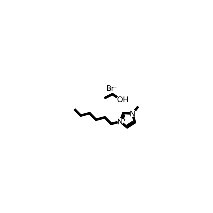 CCCCCC[n+]1ccn(C)c1.CCO.[Br-]